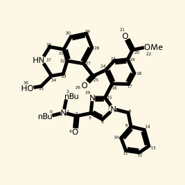 CCCCN(CCCC)C(=O)c1cn(Cc2ccccc2)c(-c2ccc(C(=O)OC)cc2C(=O)c2cccc3c2CC(CO)NC3)n1